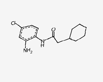 Nc1cc(Cl)ccc1NC(=O)C[C]1CCCCC1